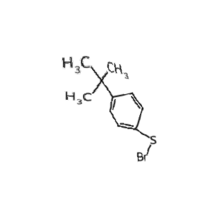 CC(C)(C)c1ccc(SBr)cc1